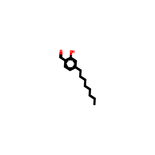 CCCCCCCCc1ccc(C=O)c(O)c1